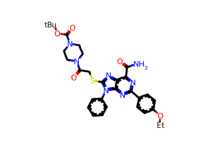 CCOc1ccc(-c2nc(C(N)=O)c3nc(SCC(=O)N4CCN(C(=O)OC(C)(C)C)CC4)n(-c4ccccc4)c3n2)cc1